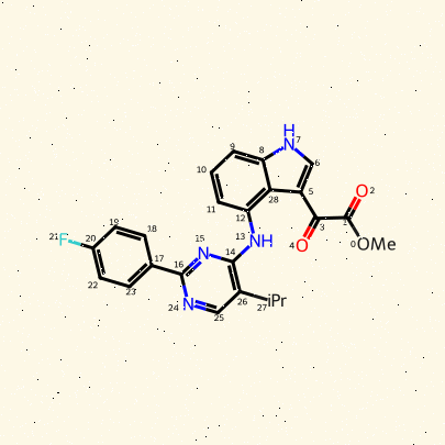 COC(=O)C(=O)c1c[nH]c2cccc(Nc3nc(-c4ccc(F)cc4)ncc3C(C)C)c12